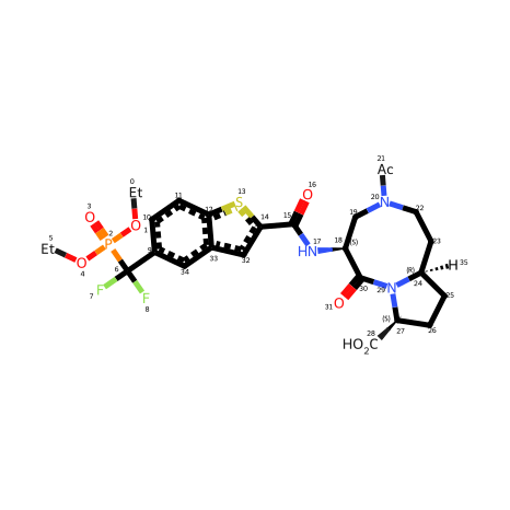 CCOP(=O)(OCC)C(F)(F)c1ccc2sc(C(=O)N[C@H]3CN(C(C)=O)CC[C@H]4CC[C@@H](C(=O)O)N4C3=O)cc2c1